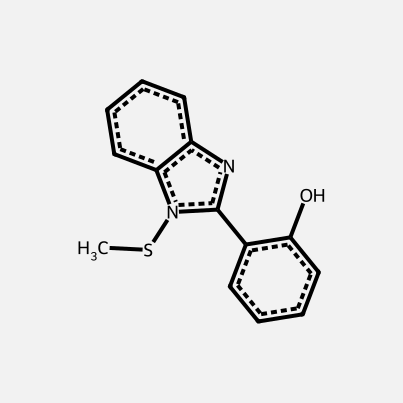 CSn1c(-c2ccccc2O)nc2ccccc21